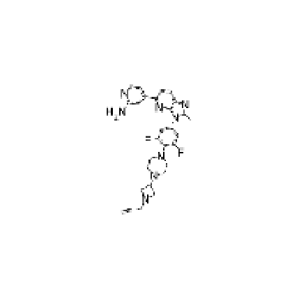 C#CCN1CC(N2CCN(c3c(F)cc(-n4c(C)nc5ccc(-c6ccnc(N)c6)nc54)cc3F)CC2)C1